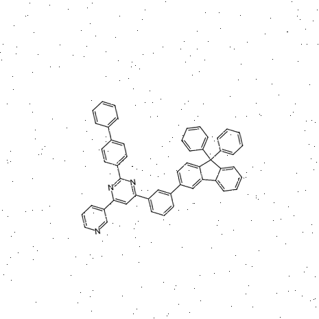 c1ccc(-c2ccc(-c3nc(-c4cccnc4)cc(-c4cccc(-c5ccc6c(c5)-c5ccccc5C6(c5ccccc5)c5ccccc5)c4)n3)cc2)cc1